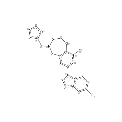 Fc1ccc2c(ccn2-c2cc(Cl)c3c(c2)CN(Cc2ccco2)CCO3)c1